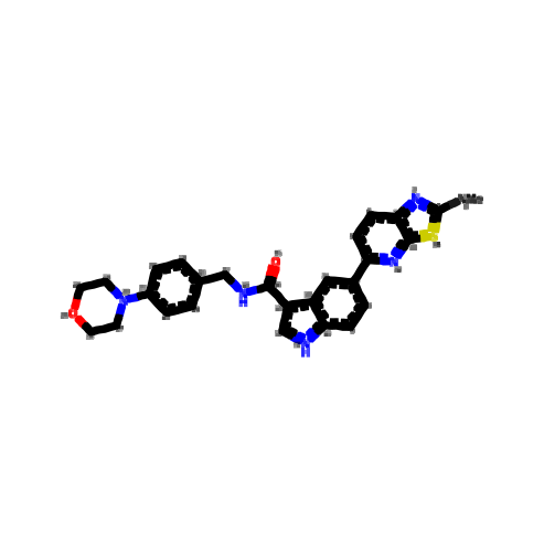 CNc1nc2ccc(-c3ccc4[nH]cc(C(=O)NCc5ccc(N6CCOCC6)cc5)c4c3)nc2s1